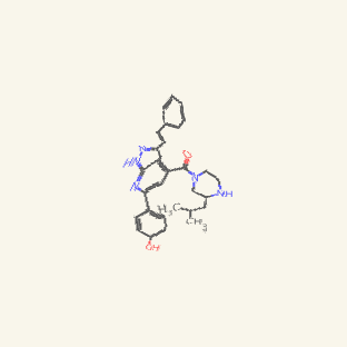 CC(C)C[C@H]1CN(C(=O)c2cc(-c3ccc(O)cc3)nc3[nH]nc(/C=C/c4ccccc4)c23)CCN1